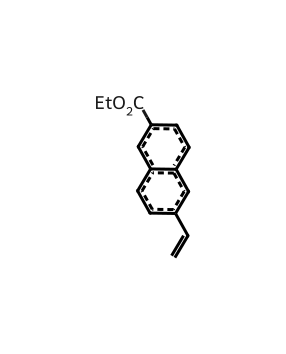 C=Cc1ccc2cc(C(=O)OCC)ccc2c1